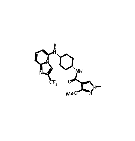 COc1nn(C)cc1C(=O)N[C@H]1CC[C@@H](N(C)c2cccc3nc(C(F)(F)F)cn23)CC1